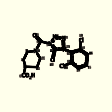 O=C(O)C1CCN(C(=O)n2nnn(-c3c(Cl)cccc3Cl)c2=O)CC1